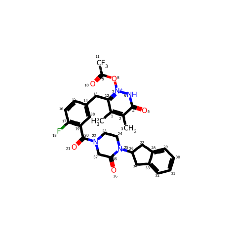 Cc1c(C)c(=O)[nH][n+](OC(=O)C(F)(F)F)c1Cc1ccc(F)c(C(=O)N2CCN(C3Cc4ccccc4C3)C(=O)C2)c1